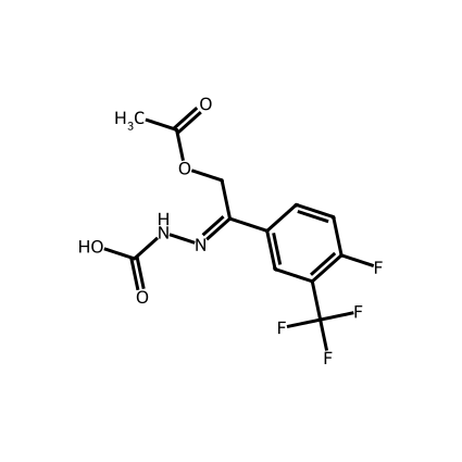 CC(=O)OCC(=NNC(=O)O)c1ccc(F)c(C(F)(F)F)c1